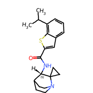 CC(C)c1cccc2cc(C(=O)N[C@H]3C4CCN(CC4)C34CC4)sc12